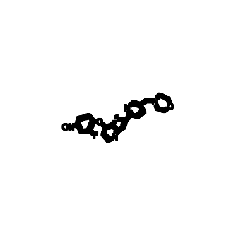 O=Nc1ccc(Oc2ccnc3cc(-c4ccc(CN5CCOCC5)cn4)sc23)c(F)c1